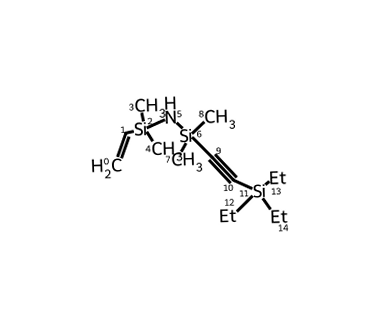 C=C[Si](C)(C)N[Si](C)(C)C#C[Si](CC)(CC)CC